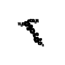 Cc1cc(CC(=O)O)cc(S(=O)(=O)N2CCN(C(=O)Cc3ccc(C(F)(F)F)c(F)c3)CC2)c1